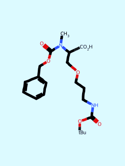 CN(C(=O)OCc1ccccc1)C(COCCCNC(=O)OC(C)(C)C)C(=O)O